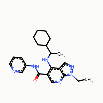 CCn1ncc2c(NC(C)C3CCCCC3)c(C(=O)Nc3cccnc3)cnc21